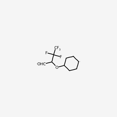 O=[C]C(OC1CC[CH]CC1)C(F)(F)C(F)(F)F